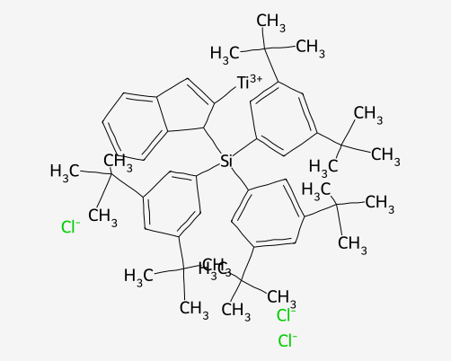 CC(C)(C)c1cc(C(C)(C)C)cc([Si](c2cc(C(C)(C)C)cc(C(C)(C)C)c2)(c2cc(C(C)(C)C)cc(C(C)(C)C)c2)C2[C]([Ti+3])=Cc3ccccc32)c1.[Cl-].[Cl-].[Cl-]